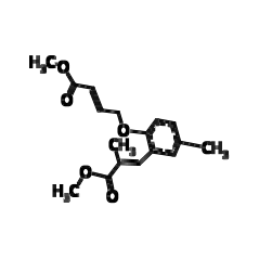 COC(=O)/C=C/COc1ccc(C)cc1/C=C(\C)C(=O)OC